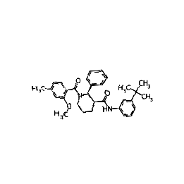 COc1cc(C)ccc1C(=O)N1CCC[C@H](C(=O)Nc2cccc(C(C)(C)C)c2)[C@@H]1c1ccccc1